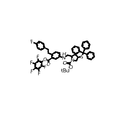 CC(C)(C)OC(=O)N1CC(SC(c2ccccc2)(c2ccccc2)c2ccccc2)CC1CNc1ccc(CCc2ccc(F)cc2)c(C(=O)Oc2c(F)c(F)c(F)c(F)c2F)c1